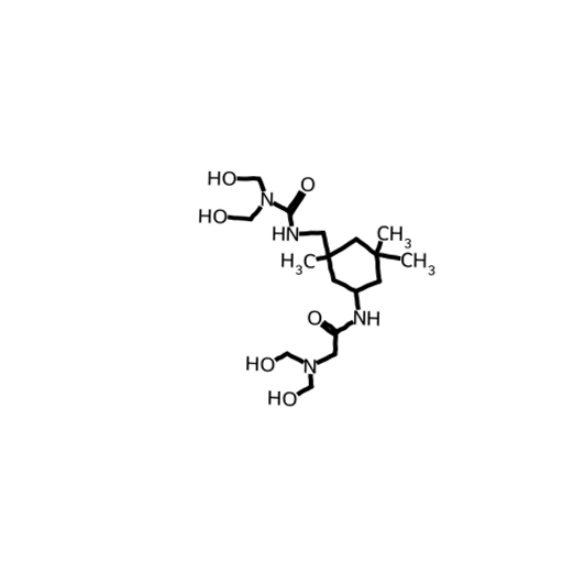 CC1(C)CC(NC(=O)CN(CO)CO)CC(C)(CNC(=O)N(CO)CO)C1